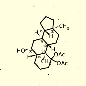 CC(=O)OC1(OC(C)=O)CCC[C@]2(F)[C@H](O)C[C@H]3[C@@H]4CCC[C@@]4(C)CC[C@@H]3[C@@]12C